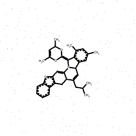 CC1=CC(C)O/C(=C2\c3c(C)cc(C)cc3C3C=C(CC(C)C)C4Cc5c(oc6ccccc56)C=C4N23)O1